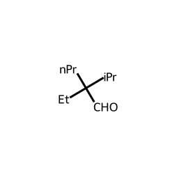 CCCC(C=O)(CC)C(C)C